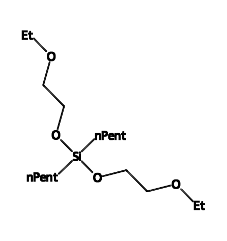 CCCCC[Si](CCCCC)(OCCOCC)OCCOCC